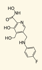 O=C(NO)c1ncc(CNc2ccc(F)cc2)c(CO)c1O